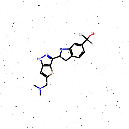 CCC(O)(CC)c1ccc2c(c1)NC(c1n[nH]c3cc(CN(C)C)sc13)C2